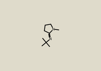 CN1CCCC1=NC(C)(C)C